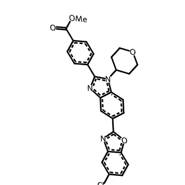 COC(=O)c1ccc(-c2nc3cc(-c4nc5cc(Cl)ccc5o4)ccc3n2C2CCOCC2)cc1